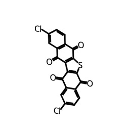 O=c1c2ccc(Cl)cc2c(=O)c2c1sc1c(=O)c3ccc(Cl)cc3c(=O)c12